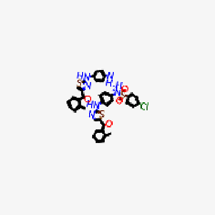 Cc1ccccc1C(=O)c1cnc(Nc2ccc(NS(=O)(=O)c3ccc(Cl)cc3)cc2)s1.Cc1ccccc1C(=O)c1csc(Nc2ccc(N)cc2)n1